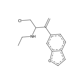 C=C(c1ccc2ccoc2c1)C(CCl)NCC